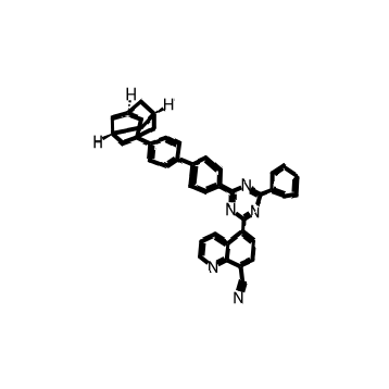 N#Cc1ccc(-c2nc(-c3ccccc3)nc(-c3ccc(-c4ccc(C56C[C@H]7C[C@@H](C5)C[C@@H](C6)C7)cc4)cc3)n2)c2cccnc12